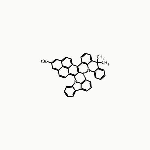 CC(C)(C)c1cc2ccc3c4c5c(c6ccc(c1)c2c36)-n1c2ccccc2c2cccc(c21)B5N1c2ccccc2C(C)(C)c2cccc-4c21